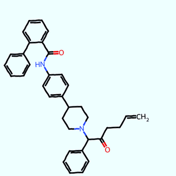 C=CCCC(=O)C(c1ccccc1)N1CCC(c2ccc(NC(=O)c3ccccc3-c3ccccc3)cc2)CC1